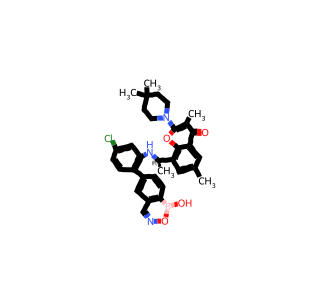 Cc1cc([C@@H](C)Nc2cc(Cl)ccc2-c2ccc3c(c2)C=NOB3O)c2oc(N3CCC(C)(C)CC3)c(C)c(=O)c2c1